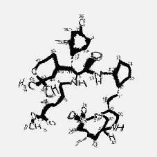 COC(=O)CCCN[C@H](C(=O)N[C@H]1CCC[C@@H]1CC[C@H]1CN[C@@H]2CCCS(=O)(=O)N1C2)[C@@H](c1ccc(Cl)cc1)C1CCOC(C)(C)C1